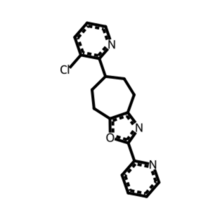 Clc1cccnc1C1CCc2nc(-c3ccccn3)oc2CC1